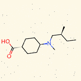 CC[C@H](C)CN(C)[C@H]1CC[C@H](C(=O)O)CC1